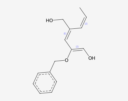 C\C=C/C(=C\C(=C\O)OCc1ccccc1)CO